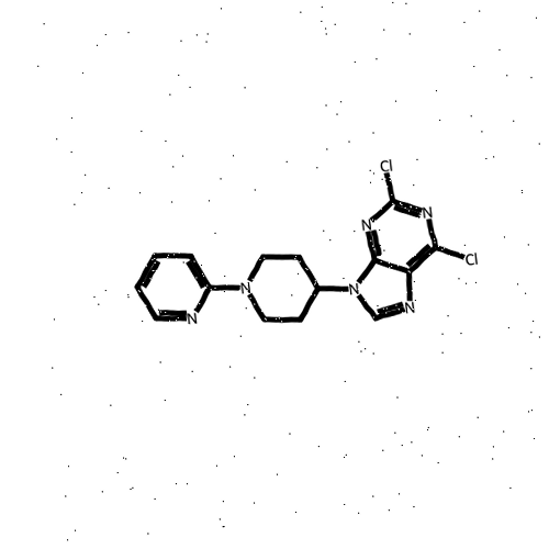 Clc1nc(Cl)c2ncn(C3CCN(c4ccccn4)CC3)c2n1